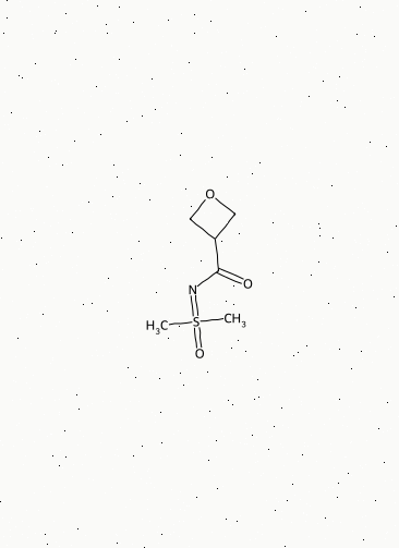 CS(C)(=O)=NC(=O)C1COC1